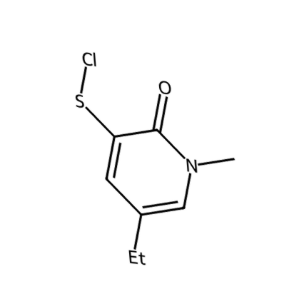 CCc1cc(SCl)c(=O)n(C)c1